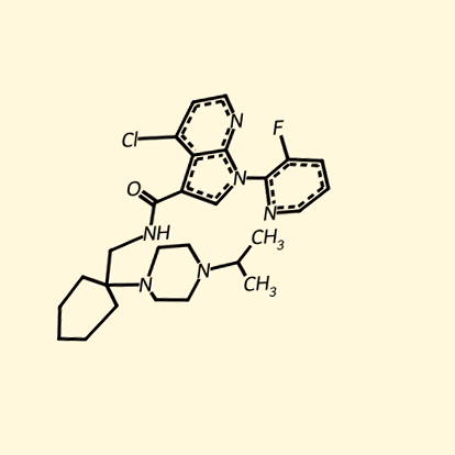 CC(C)N1CCN(C2(CNC(=O)c3cn(-c4ncccc4F)c4nccc(Cl)c34)CCCCC2)CC1